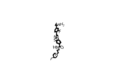 NC1(c2ccc(-c3cn4c(n3)sc3cc(C(=O)NCCCN5CCC(F)CC5)ccc34)c(F)c2)CC1